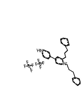 F[B-](F)(F)F.F[B-](F)(F)F.c1ccc(CCCc2cc(-c3cc[nH+]cc3)cc[n+]2CCCc2ccccc2)cc1